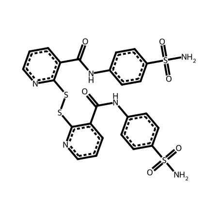 NS(=O)(=O)c1ccc(NC(=O)c2cccnc2SSc2ncccc2C(=O)Nc2ccc(S(N)(=O)=O)cc2)cc1